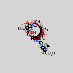 CO[C@H]1/C=C/O[C@@]2(C)Oc3c(C)c(O)c4c(c3/C2=N/O)C(=O)C(N2CCOCC2)=C(NC(=O)/C(C)=C\C=C\[C@H](C)[C@H](O)[C@@H](C)[C@@H](O)[C@@H](C)[C@H](OC(=O)NC2CCN(c3c(F)cc5c(=O)c(C(=O)O)cn(C6CC6)c5c3Cl)C2)[C@@H]1C)C4=O